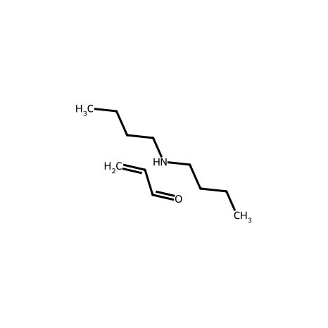 C=CC=O.CCCCNCCCC